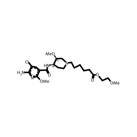 COCCOC(=O)CCCCCN1CC[C@@H](NC(=O)c2cc(Cl)c(N)nc2OC)[C@@H](OC)C1